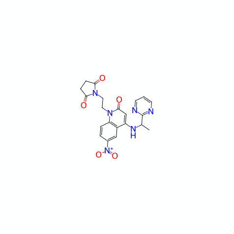 CC(Nc1cc(=O)n(CCN2C(=O)CCC2=O)c2ccc([N+](=O)[O-])cc12)c1ncccn1